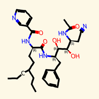 CCCC(CCC)CC[C@@H](NC(=O)c1cccnc1)C(=O)N[C@H](Cc1ccccc1)[C@@H](O)[C@H](O)[C@H](CC#N)NC(C)=O